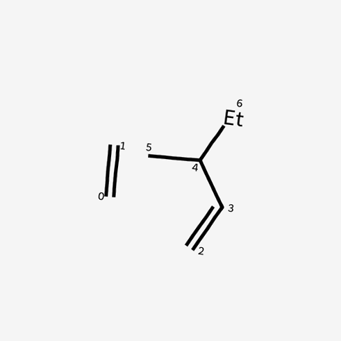 C=C.C=CC(C)CC